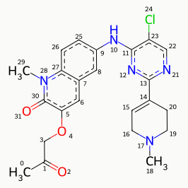 CC(=O)COc1cc2cc(Nc3nc(C4=CCN(C)CC4)ncc3Cl)ccc2n(C)c1=O